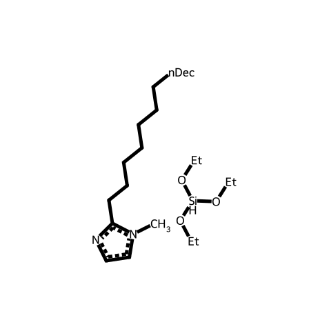 CCCCCCCCCCCCCCCCCc1nccn1C.CCO[SiH](OCC)OCC